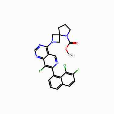 CC(C)(C)OC(=O)N1CCCC12CN(c1ncnc3c(F)c(-c4cccc5ccc(F)c(Cl)c45)ncc13)C2